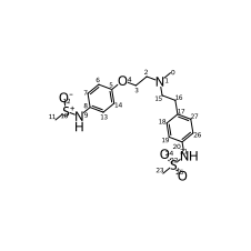 CN(CCOc1ccc(N[S+](C)[O-])cc1)CCc1ccc(NS(C)(=O)=O)cc1